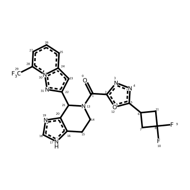 O=C(c1nnc(C2CC(F)(F)C2)o1)N1CCc2[nH]cnc2C1c1cc2cccc(C(F)(F)F)n2n1